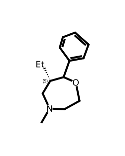 CC[C@H]1CN(C)CCOC1c1ccccc1